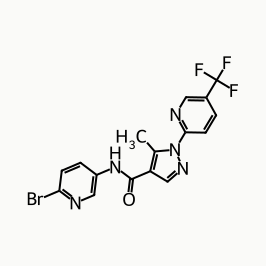 Cc1c(C(=O)Nc2ccc(Br)nc2)cnn1-c1ccc(C(F)(F)F)cn1